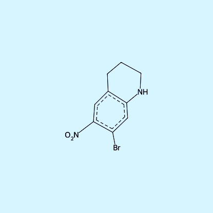 O=[N+]([O-])c1cc2c(cc1Br)NCCC2